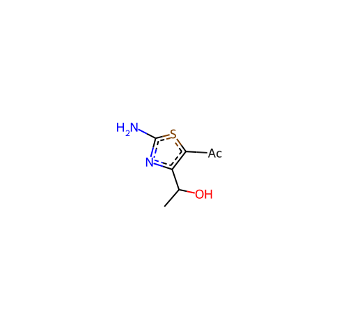 CC(=O)c1sc(N)nc1C(C)O